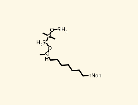 CCCCCCCCCCCCCCCC[SiH](C)O[SiH2][Si](C)(C)O[SiH3]